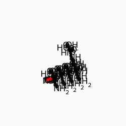 NCCNCCNC(CCP(=O)(O)O)P(=O)(O)O.NCCNCCNC(CCP(=O)(O)O)P(=O)(O)O.NCCNCCNC(CCP(=O)(O)O)P(=O)([O-])O.NCCNCCNC(CCP(=O)(O)O)P(=O)([O-])[O-].NCCNCCNC(CCP(=O)(O)O)P(=O)([O-])[O-].[Na+].[Na+].[Na+].[Na+].[Na+]